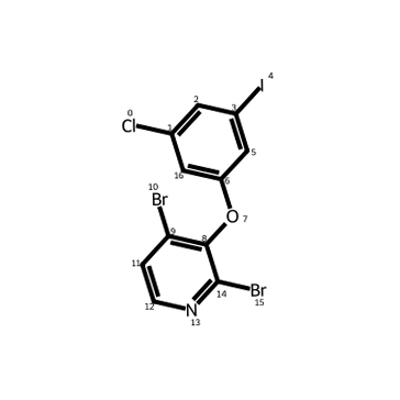 Clc1cc(I)cc(Oc2c(Br)ccnc2Br)c1